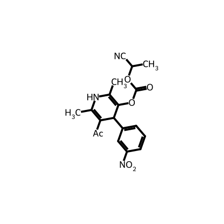 CC(=O)C1=C(C)NC(C)=C(OC(=O)OC(C)C#N)C1c1cccc([N+](=O)[O-])c1